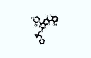 C[C@@H]1CNCCN1c1nc(OCC2(CN3CCCC3)CC2)nc2nc(-c3c(O)cccc3F)c(F)cc12